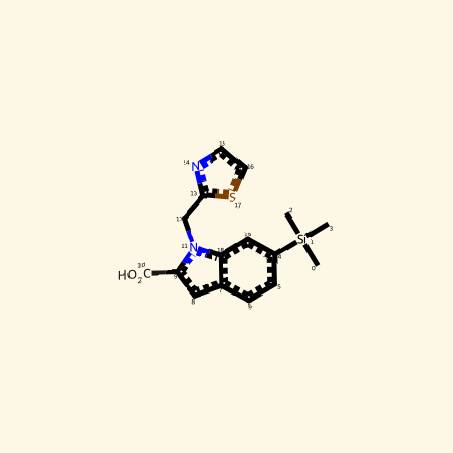 C[Si](C)(C)c1ccc2cc(C(=O)O)n(Cc3nccs3)c2c1